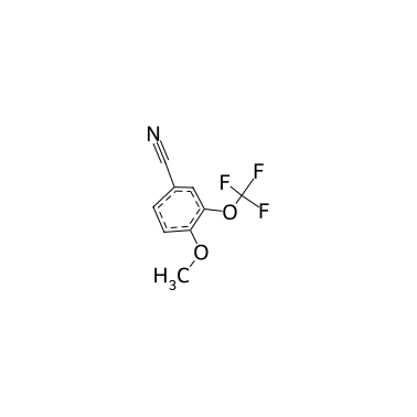 COc1ccc(C#N)cc1OC(F)(F)F